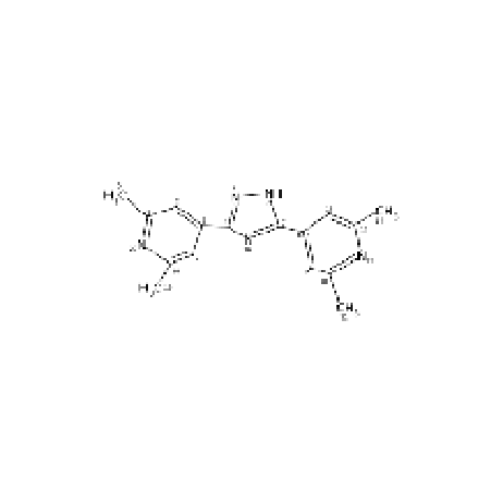 Cc1cc(-c2n[nH]c(-c3cc(C)nc(C)c3)n2)cc(C)n1